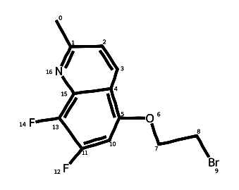 Cc1ccc2c(OCCBr)cc(F)c(F)c2n1